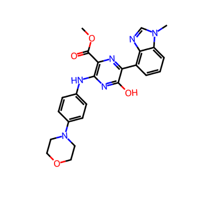 COC(=O)c1nc(-c2cccc3c2ncn3C)c(O)nc1Nc1ccc(N2CCOCC2)cc1